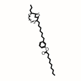 CCCCCCCCCC(=O)Oc1cccc(CCCCCCCC2SSSSC(CCC)C3CC2S3)c1